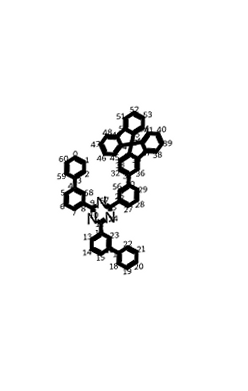 c1ccc(-c2cccc(-c3nc(-c4cccc(-c5ccccc5)c4)nc(-c4cccc(-c5ccc6c(c5)-c5ccccc5C65c6ccccc6-c6ccccc65)c4)n3)c2)cc1